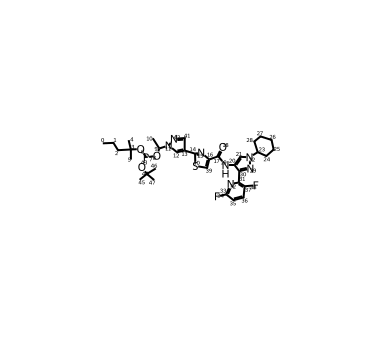 CCCC(C)(C)OP(OC(C)n1cc(-c2nc(C(=O)Nc3cn(C4CCCCC4)nc3-c3nc(F)ccc3F)cs2)cn1)OC(C)(C)C